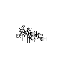 CC[C@@H](Nc1n[s+]([O-])nc1Nc1cccc(C(=O)N2CCC(O)C2)c1O)c1ccc(C)o1